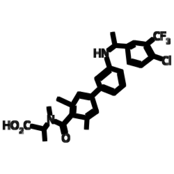 Cc1cc(-c2cccc(NC(C)c3ccc(Cl)c(C(F)(F)F)c3)c2)cc(C)c1C(=O)N(C)C(C)C(=O)O